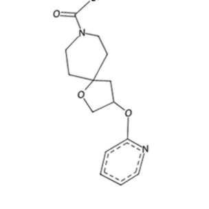 O=C(O)N1CCC2(CC1)CC(Oc1ccccn1)CO2